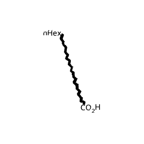 CCCCCCC=CCCCCCCCCCCCCC=CCCC=CCCCC(=O)O